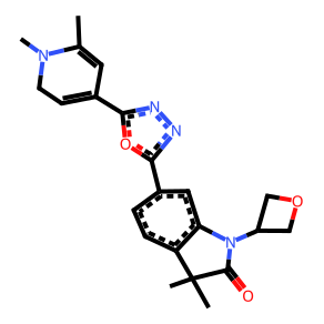 CC1=CC(c2nnc(-c3ccc4c(c3)N(C3COC3)C(=O)C4(C)C)o2)=CCN1C